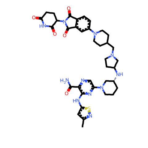 Cc1cc(Nc2nc(N3CCC[C@@H](NC4CCN(CC5CCN(c6ccc7c(c6)C(=O)N(C6CCC(=O)NC6=O)C7=O)CC5)C4)C3)cnc2C(N)=O)sn1